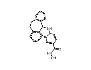 O=C(NO)C1=CNC(NC2c3ccccc3CCc3ccccc32)C=C1